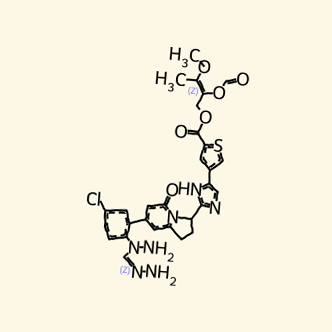 CO/C(C)=C(/COC(=O)c1cc(-c2cnc(C3CCc4cc(-c5cc(Cl)ccc5N(N)/C=N\N)cc(=O)n43)[nH]2)cs1)OC=O